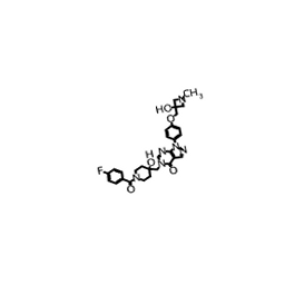 CN1CC(O)(COc2ccc(-n3ncc4c(=O)n(CC5(O)CCN(C(=O)c6ccc(F)cc6)CC5)cnc43)cc2)C1